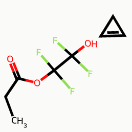 C1=CC1.CCC(=O)OC(F)(F)C(O)(F)F